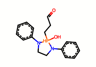 O=CCC[PH]1(O)N(c2ccccc2)CCN1c1ccccc1